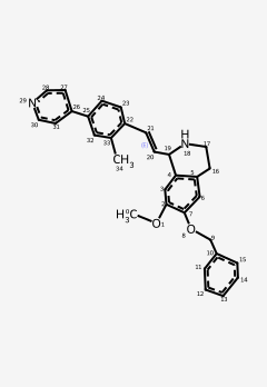 COc1cc2c(cc1OCc1ccccc1)CCNC2/C=C/c1ccc(-c2ccncc2)cc1C